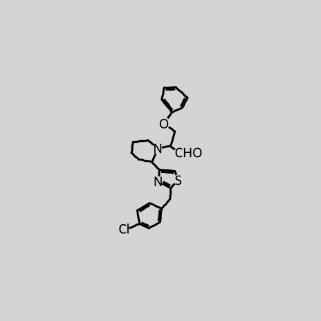 O=CC(COc1ccccc1)N1CCCCC1c1csc(Cc2ccc(Cl)cc2)n1